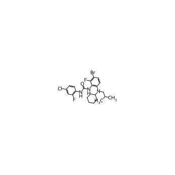 CC(C)CN(c1ccc(Br)c(F)c1NC(=O)Nc1ccc(Cl)cc1F)C1CCCCC1